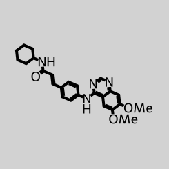 COc1cc2ncnc(Nc3ccc(C=CC(=O)NC4CCCCC4)cc3)c2cc1OC